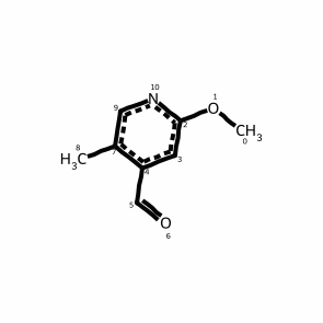 COc1cc(C=O)c(C)cn1